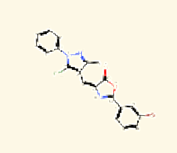 Cc1nn(-c2ccccc2)c(Cl)c1/C=C1/N=C(c2cccc(Br)c2)OC1=O